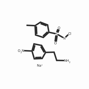 Cc1ccc(S(=O)(=O)[N-]Cl)cc1.NCCc1ccc([N+](=O)[O-])cc1.[Na+]